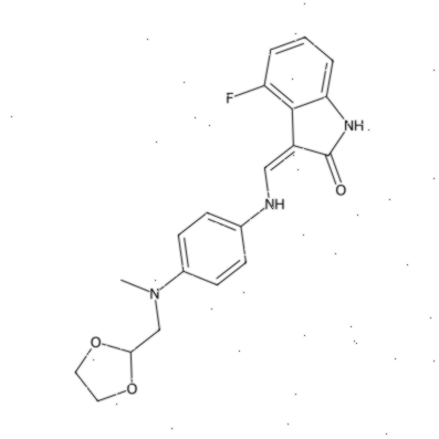 CN(CC1OCCO1)c1ccc(NC=C2C(=O)Nc3cccc(F)c32)cc1